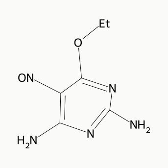 CCOc1nc(N)nc(N)c1N=O